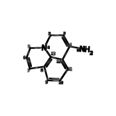 NC1=CCN2CC=Cc3cccc1c32